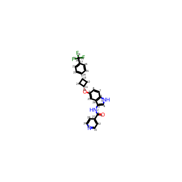 O=C(Nc1c[nH]c2ccc(O[C@H]3C[C@@H](c4ccc(C(F)(F)F)cc4)C3)cc12)c1ccncc1